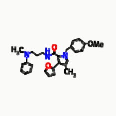 COc1ccc(Cn2cc(C)c(-c3ccco3)c2C(=O)NCCCN(C)c2ccccc2)cc1